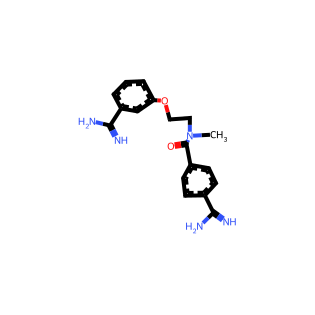 CN(CCOc1cccc(C(=N)N)c1)C(=O)c1ccc(C(=N)N)cc1